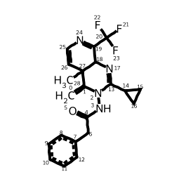 C=C1N(NC(=O)Cc2ccccc2)C(C2CC2)=NC2C(C(F)(F)F)=NC=CC12C